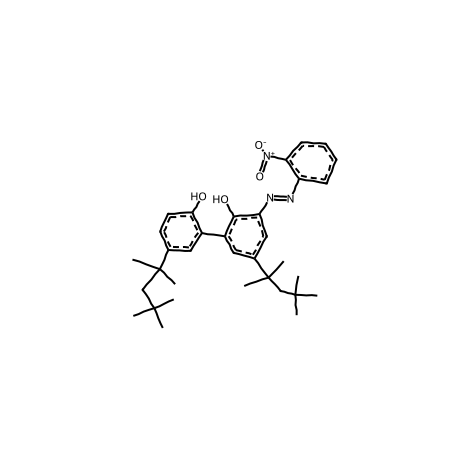 CC(C)(C)CC(C)(C)c1ccc(O)c(-c2cc(C(C)(C)CC(C)(C)C)cc(N=Nc3ccccc3[N+](=O)[O-])c2O)c1